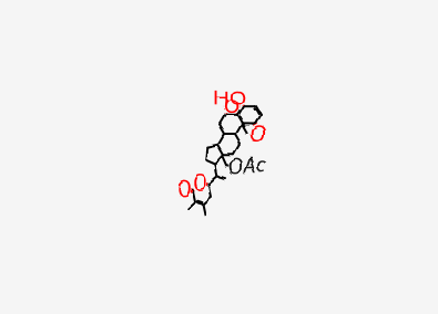 CC(=O)OCC12CCC3C(CC4OC45C(O)C=CC(=O)C35C)C1CCC2C(C)C1CC(C)=C(C)C(=O)O1